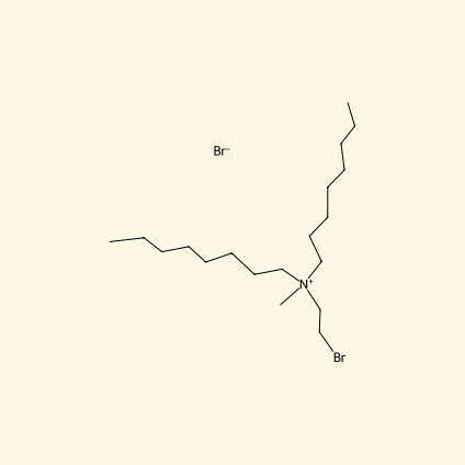 CCCCCCCC[N+](C)(CCBr)CCCCCCCC.[Br-]